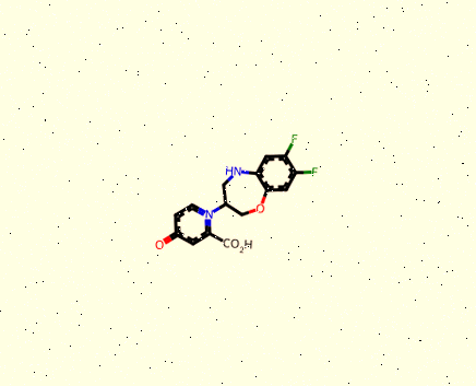 O=C(O)c1cc(=O)ccn1C1CNc2cc(F)c(F)cc2OC1